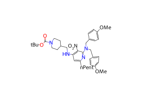 CCCCCc1cc(NCC2CCN(C(=O)OC(C)(C)C)CC2)c([N+](=O)[O-])c(N(Cc2ccc(OC)cc2)Cc2ccc(OC)cc2)n1